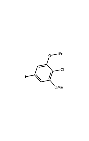 COc1cc(I)cc(OC(C)C)c1Cl